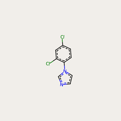 Clc1ccc(-n2ccnc2)c(Cl)c1